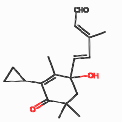 CC(C=CC1(O)CC(C)(C)C(=O)C(C2CC2)=C1C)=CC=O